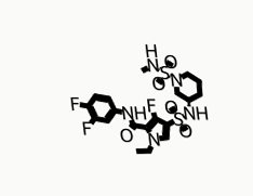 CCn1cc(S(=O)(=O)N[C@@H]2CCCN(S(=O)(=O)NC)C2)c(F)c1C(=O)Nc1ccc(F)c(F)c1